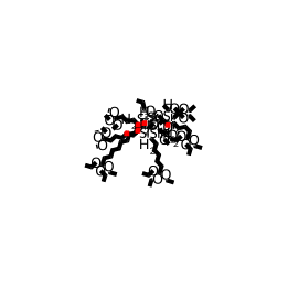 CCCO[Si](OC([SiH2]CCCCCCC(OC)(OC)OC)([SiH2]CCCCCCC(OCC)(OCC)OCC)[SiH2]CCCCC(OC)(OC)OC)(OC([SiH2]CCCCC(OCC)(OCC)OCC)([SiH2]CC(OC)(OC)OC)[SiH2]CC(OCC)(OCC)OCC)[SiH2]CCCCCCCCCCC(OCC)(OCC)OCC